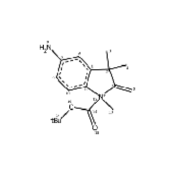 C=C1C(C)(C)c2cc(N)ccc2[N+]1(C)C(=O)OC(C)(C)C